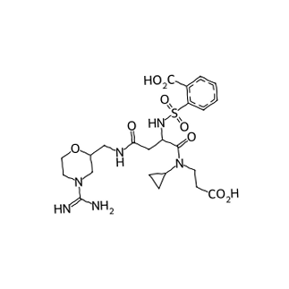 N=C(N)N1CCOC(CNC(=O)CC(NS(=O)(=O)c2ccccc2C(=O)O)C(=O)N(CCC(=O)O)C2CC2)C1